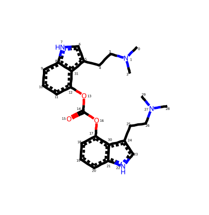 CN(C)CCc1c[nH]c2cccc(OC(=O)Oc3cccc4[nH]cc(CCN(C)C)c34)c12